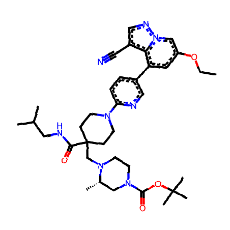 CCOc1cc(-c2ccc(N3CCC(CN4CCN(C(=O)OC(C)(C)C)C[C@@H]4C)(C(=O)NCC(C)C)CC3)nc2)c2c(C#N)cnn2c1